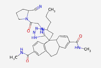 CCCC(CC1(c2nnn[nH]2)c2ccc(C(=O)NC)cc2CCC2C=C(C(=O)NC)C=CC21)NCC(=O)N1CCCC1C#N